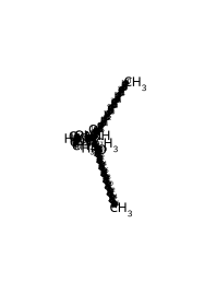 CCCCCCCCCCCCCCCCCC(=O)NC1=NC(C)CN1C(C)NC(=O)CCCCCCCCCCCCCCCCC.COS(=O)(=O)O